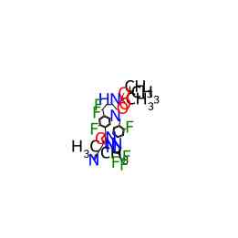 CC(C)(C)OC(=O)N[C@H]1CC(F)(F)c2cc(F)c(-c3nnc(C(C)(C)C#N)o3)cc2N(Cc2ccc(-n3cc(C(F)(F)F)cn3)cc2F)C1=O